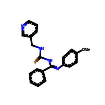 COc1ccc(N=C(NC(=S)NCc2cccnc2)c2ccccc2)cc1